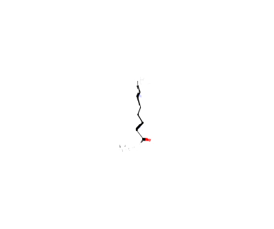 CCCC/C=C/CC/C=C/C(=O)OC